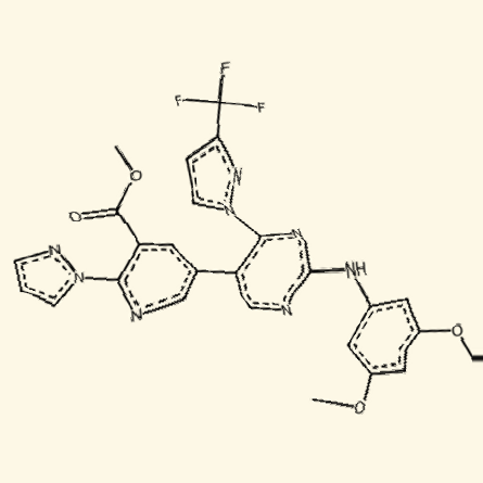 COC(=O)c1cc(-c2cnc(Nc3cc(OC)cc(OC)c3)nc2-n2ccc(C(F)(F)F)n2)cnc1-n1cccn1